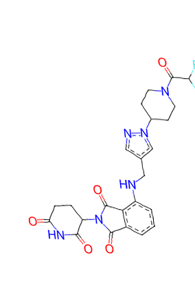 O=C1CCC(N2C(=O)c3cccc(NCc4cnn(C5CCN(C(=O)C(F)F)CC5)c4)c3C2=O)C(=O)N1